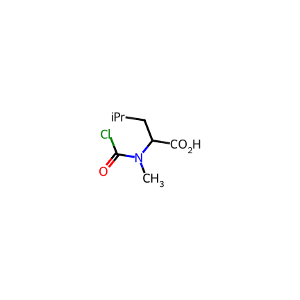 CC(C)CC(C(=O)O)N(C)C(=O)Cl